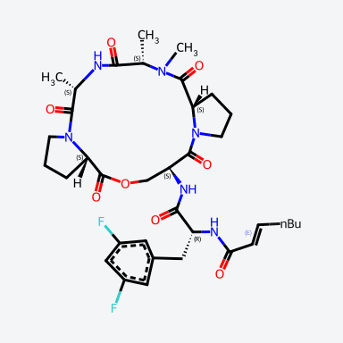 CCCC/C=C/C(=O)N[C@H](Cc1cc(F)cc(F)c1)C(=O)N[C@H]1COC(=O)[C@@H]2CCCN2C(=O)[C@H](C)NC(=O)[C@H](C)N(C)C(=O)[C@@H]2CCCN2C1=O